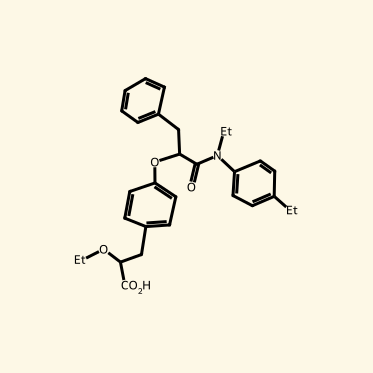 CCOC(Cc1ccc(OC(Cc2ccccc2)C(=O)N(CC)c2ccc(CC)cc2)cc1)C(=O)O